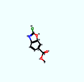 COC(=O)c1ccc2nc(Cl)oc2c1